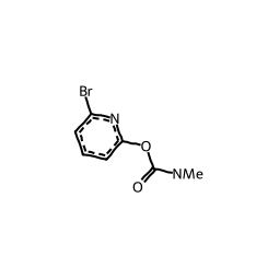 CNC(=O)Oc1cccc(Br)n1